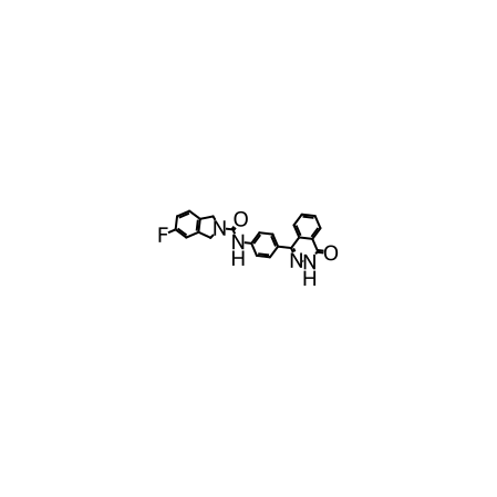 O=C(Nc1ccc(-c2n[nH]c(=O)c3ccccc23)cc1)N1Cc2ccc(F)cc2C1